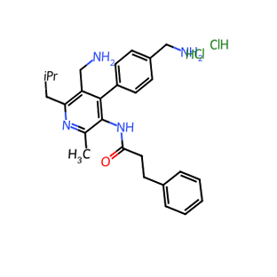 Cc1nc(CC(C)C)c(CN)c(-c2ccc(CN)cc2)c1NC(=O)CCc1ccccc1.Cl.Cl